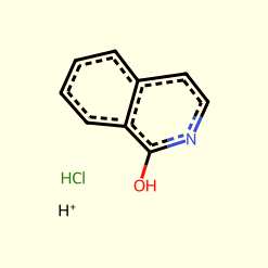 Cl.Oc1nccc2ccccc12.[H+]